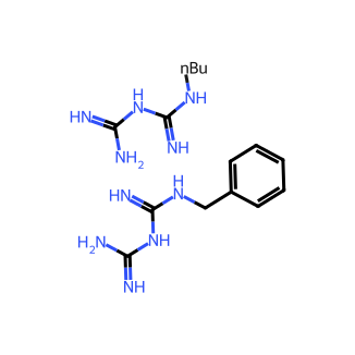 CCCCNC(=N)NC(=N)N.N=C(N)NC(=N)NCc1ccccc1